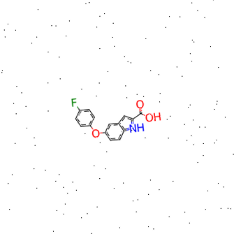 O=C(O)c1cc2cc(Oc3ccc(F)cc3)ccc2[nH]1